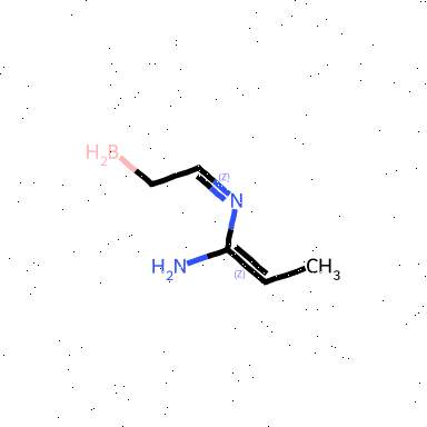 BC/C=N\C(N)=C/C